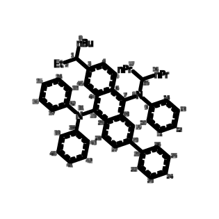 CCCCC(CC)c1ccc2c(N(c3ccccc3)C(CCC)CCC)c3cc(-c4ccccc4)ccc3c(N(c3ccccc3)c3ccccc3)c2c1